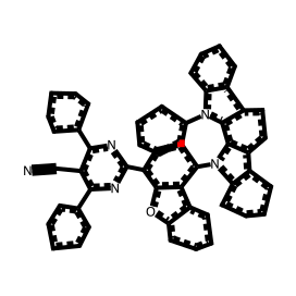 N#Cc1c(-c2ccccc2)nc(-c2ccc(-n3c4ccccc4c4ccc5c6ccccc6n(-c6ccccc6)c5c43)c3c2oc2ccccc23)nc1-c1ccccc1